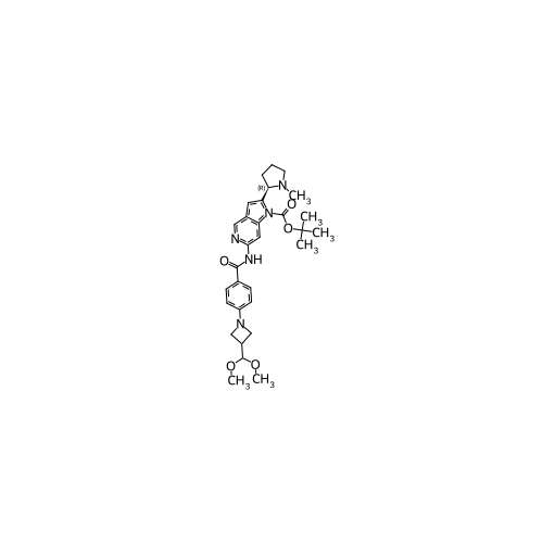 COC(OC)C1CN(c2ccc(C(=O)Nc3cc4c(cn3)cc([C@H]3CCCN3C)n4C(=O)OC(C)(C)C)cc2)C1